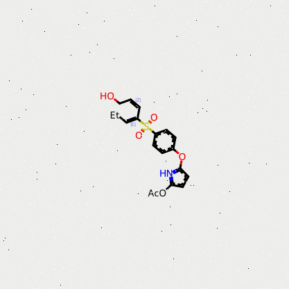 CC/C=C(\C=C/CO)S(=O)(=O)c1ccc(Oc2ccc(OC(C)=O)[nH]2)cc1